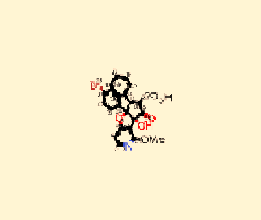 COc1nccc2c1C1(O)C(=O)C(C(=O)O)C(c3ccccc3)C1(c1ccc(Br)cc1)O2